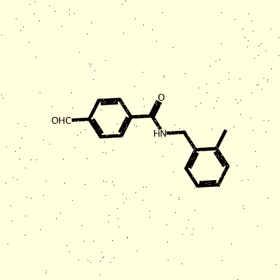 Cc1ccccc1CNC(=O)c1ccc(C=O)cc1